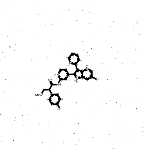 COCC(C(=O)Nc1cc(-c2[nH]c3cc(F)cnc3c2-c2ccccn2)ccn1)c1ccc(F)cc1